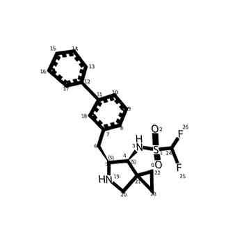 O=S(=O)(N[C@@H]1[C@H](Cc2cccc(-c3ccccc3)c2)NCC12CC2)C(F)F